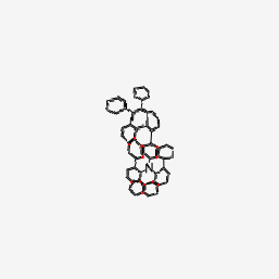 c1ccc(-c2cccc(-c3ccccc3)c2N(c2ccc(-c3cccc4c(-c5ccccc5)c(-c5ccccc5)c5ccccc5c34)cc2)c2c(-c3ccccc3)cccc2-c2ccccc2)cc1